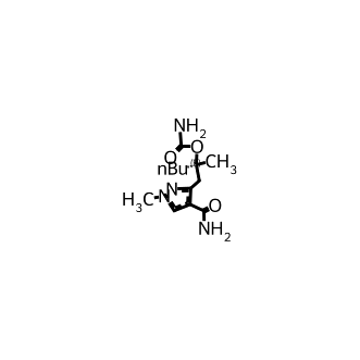 CCCC[C@](C)(Cc1nn(C)cc1C(N)=O)OC(N)=O